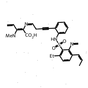 C=C/C(NC)=C(\N=C/CC#Cc1ccccc1NS(=O)(=O)c1c(CC)ccc(/C=C\C)c1N=C)C(=O)O